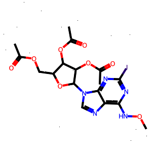 CONc1nc(I)nc2c1ncn2C1OC(COC(C)=O)C(OC(C)=O)C1OC(C)=O